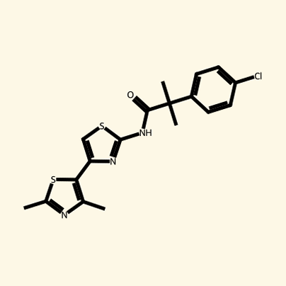 Cc1nc(C)c(-c2csc(NC(=O)C(C)(C)c3ccc(Cl)cc3)n2)s1